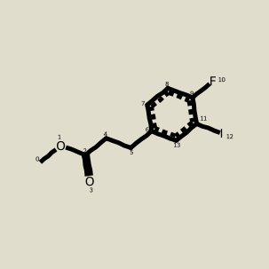 COC(=O)CCc1ccc(F)c(I)c1